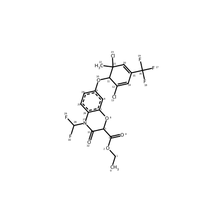 CCOC(=O)C1Oc2cc(OC3C(Cl)=CC(C(F)(F)F)=CC3(C)Cl)ccc2N(C(F)F)C1=O